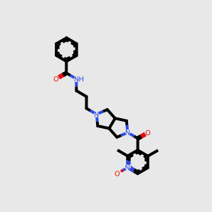 Cc1cc[n+]([O-])c(C)c1C(=O)N1CC2CN(CCCNC(=O)c3cc[c]cc3)CC2C1